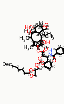 CCCCCCCCCCCCCCCC1OCC(COC(=O)O[C@@H](C(=O)OC2C[C@@]3(O)[C@@H](C)[C@@H]4[C@]5(C)CO[C@@H]5C[C@H](O)[C@@]4(C)C(=O)[C@H](C)C(=C2C)C3(C)C)[C@@H](NC(=O)c2ccccc2)c2ccccc2)O1